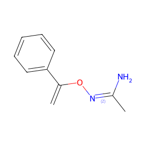 C=C(O/N=C(/C)N)c1ccccc1